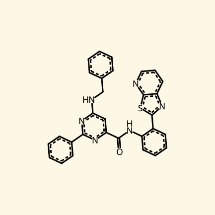 O=C(Nc1ccccc1-c1nc2cccnc2s1)c1cc(NCc2ccccc2)nc(-c2ccccc2)n1